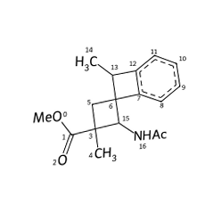 COC(=O)C1(C)CC2(c3ccccc3C2C)C1NC(C)=O